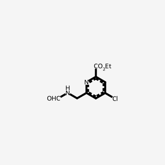 CCOC(=O)c1cc(Cl)cc(CNC=O)n1